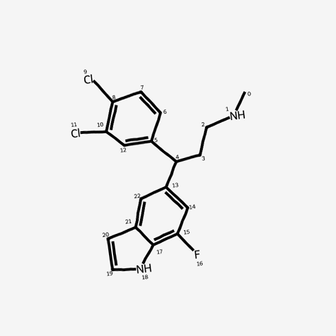 CNCCC(c1ccc(Cl)c(Cl)c1)c1cc(F)c2[nH]ccc2c1